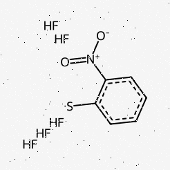 F.F.F.F.F.O=[N+]([O-])c1ccccc1[S]